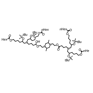 CCCCCCC(=O)OCCCCC(CN(CCCC(=O)OCCN1CC(C)N(CCOC(O)CCCN(CC(CCCCOC(=O)CCCCCC)O[Si](C)(C)C(C)(C)C)CC(CCCCOC(=O)CCCCCC)O[Si](C)(C)C(C)(C)C)CC1C)CC(CCCCOC(=O)CCCCCC)O[Si](C)(C)C(C)(C)C)O[Si](C)(C)C(C)(C)C